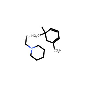 CC(C)CN1CCCCC1.CC1(C(=O)O)C=CC=C(C(=O)O)C1